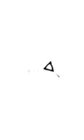 C[C@@H]1C[C@H]1C=O